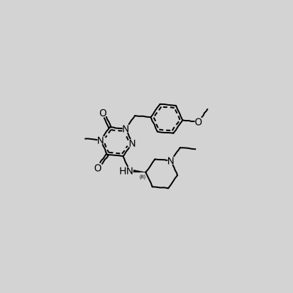 CCN1CCC[C@@H](Nc2nn(Cc3ccc(OC)cc3)c(=O)n(C)c2=O)C1